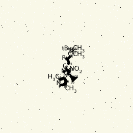 Cc1cnc(C)c(-n2nc(OCC(F)CO[Si](C)(C)C(C)(C)C)c([N+](=O)[O-])c2C2CC2)c1